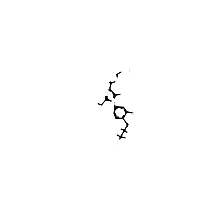 CCOC(=O)c1nc(CC)n(-c2ccc(CC(C)(C)C(F)(F)F)c(F)c2)c1Cl